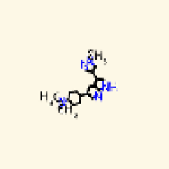 CN(C)C1CCC(c2cnc3[nH]cc(-c4cnn(C)c4)c3c2)CC1